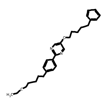 CCCCCCCCc1ccc(-c2ncc(OCCCCCc3ccccc3)cn2)cc1